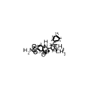 CN(C)CC(CNc1ccc(S(N)(=O)=O)cc1[N+](=O)[O-])CSc1ccccc1